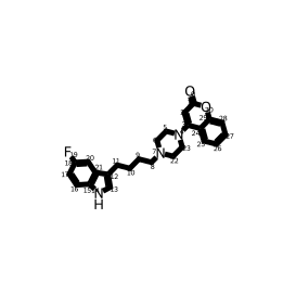 O=c1cc(N2CCN(CCCCc3c[nH]c4ccc(F)cc34)CC2)c2ccccc2o1